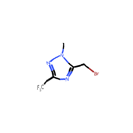 Cn1nc(C(F)(F)F)nc1CBr